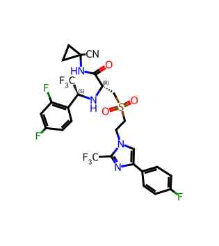 N#CC1(NC(=O)[C@H](CS(=O)(=O)CCn2cc(-c3ccc(F)cc3)nc2C(F)(F)F)N[C@@H](c2ccc(F)cc2F)C(F)(F)F)CC1